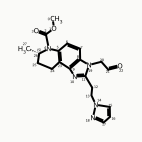 COC(=O)N1c2ccc3c(nc(CCn4cccn4)n3CC=O)c2CC[C@@H]1C